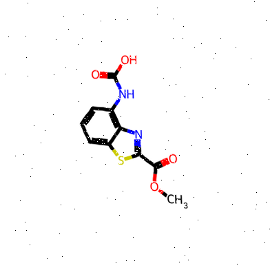 COC(=O)c1nc2c(NC(=O)O)cccc2s1